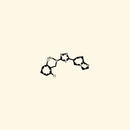 CCCCN(Cc1c(Cl)cccc1Cl)c1nnc(-c2ccc3nccn3c2)s1